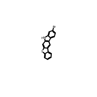 Brc1ccc2c(c1)[nH]c1cc3sc4ccccc4c3cc12